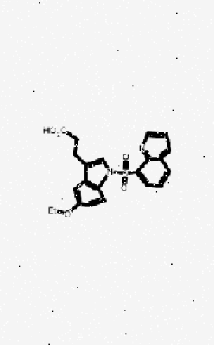 CCOc1ccc2c(c1)c(CCC(=O)O)cn2S(=O)(=O)c1cccc2cccnc12